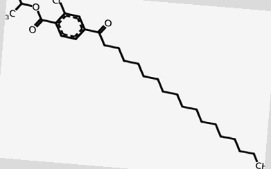 CCCCCCCCCCCCCCCCCC(=O)c1ccc(C(=O)OC(C)C)c(Cl)c1